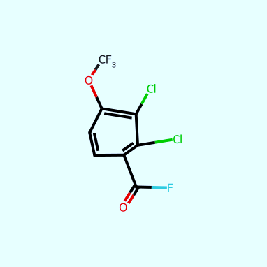 O=C(F)c1ccc(OC(F)(F)F)c(Cl)c1Cl